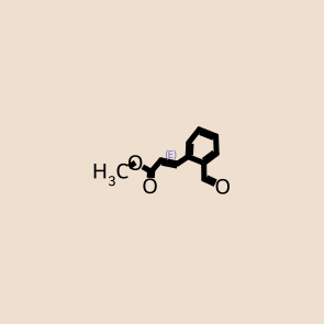 COC(=O)/C=C/c1ccccc1C=O